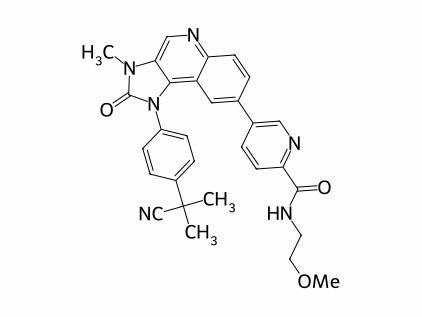 COCCNC(=O)c1ccc(-c2ccc3ncc4c(c3c2)n(-c2ccc(C(C)(C)C#N)cc2)c(=O)n4C)cn1